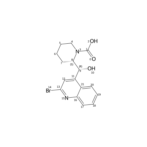 O=C(O)N1CCCC[C@H]1[C@H](O)c1cc(Br)nc2ccccc12